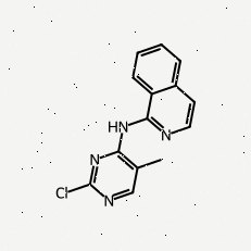 Cc1cnc(Cl)nc1Nc1nccc2ccccc12